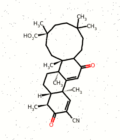 C[C@@H]1C(=O)C(C#N)=C[C@]2(C)C3=CC(=O)C4CCC(C)(C)CC[C@](C)(C(=O)O)CC[C@@]4(C)[C@]3(C)CC[C@@H]12